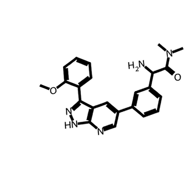 COc1ccccc1-c1n[nH]c2ncc(-c3cccc(C(N)C(=O)N(C)C)c3)cc12